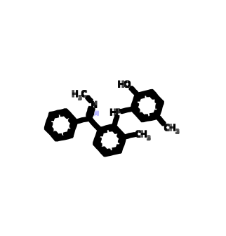 C/N=C(\c1ccccc1)c1cccc(C)c1Pc1cc(C)ccc1O